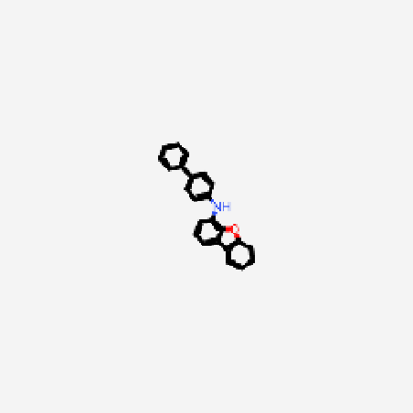 C1=Cc2c(oc3c(Nc4ccc(-c5ccccc5)cc4)cccc23)CC1